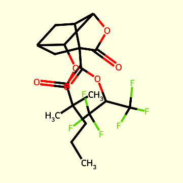 CCCC(C)(C)C(=O)OC1C2CC3C1OC(=O)C3(C(=O)OC(C(F)(F)F)C(F)(F)F)C2